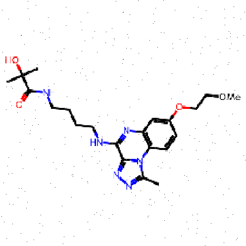 COCCOc1ccc2c(c1)nc(NCCCCNC(=O)C(C)(C)O)c1nnc(C)n12